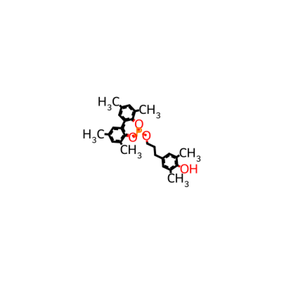 Cc1cc(C)c2op(OCCCc3cc(C)c(O)c(C)c3)oc3c(C)cc(C)cc3c2c1